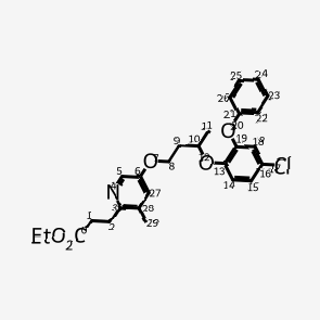 CCOC(=O)CCc1ncc(OCCC(C)Oc2ccc(Cl)cc2Oc2ccccc2)cc1C